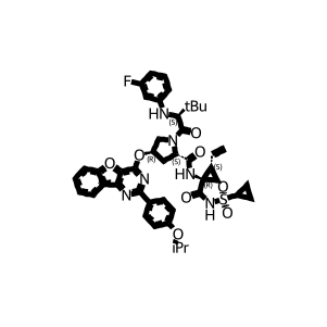 C=C[C@@H]1C[C@]1(NC(=O)[C@@H]1C[C@@H](Oc2nc(-c3ccc(OC(C)C)cc3)nc3c2oc2ccccc23)CN1C(=O)[C@@H](Nc1cccc(F)c1)C(C)(C)C)C(=O)NS(=O)(=O)C1CC1